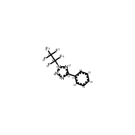 FC(F)(F)C(F)(F)n1nnc(-c2ccccc2)n1